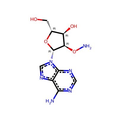 NO[C@@H]1[C@H](O)[C@@H](CO)O[C@H]1n1cnc2c(N)ncnc21